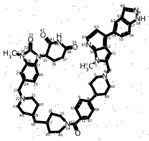 Cn1c(CN2CCC(c3ccc(C(=O)N4CCC(CC5CCN(Cc6ccc7c(c6)n(C)c(=O)n7C6CCC(=O)NC6=O)CC5)CC4)cc3)CC2)cc2c(-c3ccc4[nH]ncc4c3)ccnc21